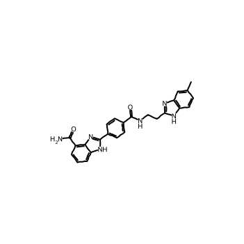 Cc1ccc2[nH]c(CCNC(=O)c3ccc(-c4nc5c(C(N)=O)cccc5[nH]4)cc3)nc2c1